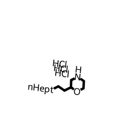 CCCCCCCCCC1CNCCO1.Cl.Cl.Cl